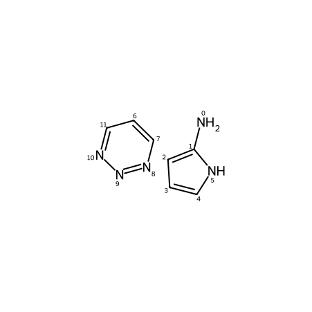 Nc1ccc[nH]1.c1cnnnc1